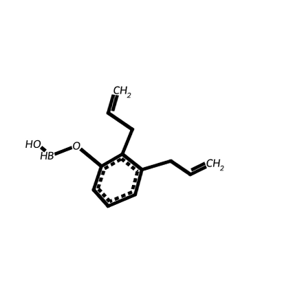 C=CCc1cccc(OBO)c1CC=C